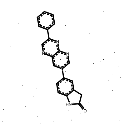 O=C1Cc2cc(-c3cnc4nc(-c5ccccc5)cnc4c3)ccc2N1